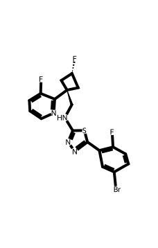 Fc1ccc(Br)cc1-c1nnc(NC[C@]2(c3ncccc3F)C[C@@H](F)C2)s1